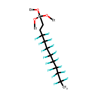 CCO[Si](CCC(F)(F)C(F)(F)C(F)(F)C(F)(F)C(F)(F)C(F)(F)C(F)(F)C(F)(F)C(F)(F)F)(OCC)OCC